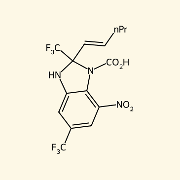 CCCC=CC1(C(F)(F)F)Nc2cc(C(F)(F)F)cc([N+](=O)[O-])c2N1C(=O)O